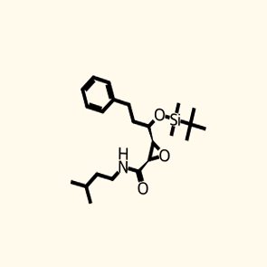 CC(C)CCNC(=O)[C@@H]1O[C@@H]1C(CCc1ccccc1)O[Si](C)(C)C(C)(C)C